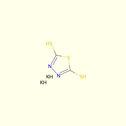 Sc1nnc(S)s1.[KH].[KH]